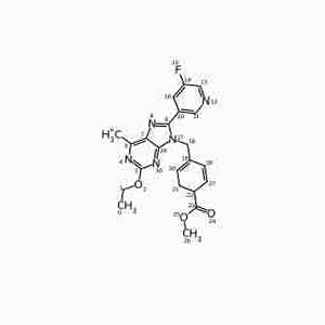 CCOc1nc(C)c2nc(-c3cncc(F)c3)n(CC3=CCC(C(=O)OC)C=C3)c2n1